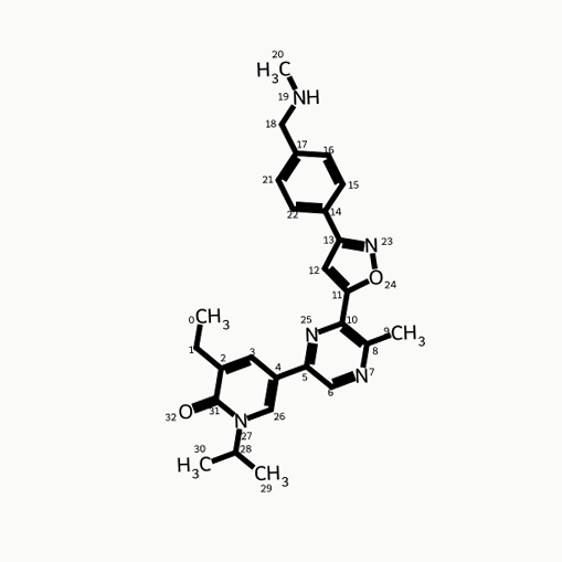 CCc1cc(-c2cnc(C)c(-c3cc(-c4ccc(CNC)cc4)no3)n2)cn(C(C)C)c1=O